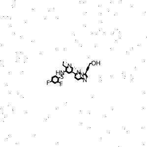 CCc1ncc(-c2ccc3ncc(C#CCO)n3n2)cc1NSc1ccc(F)cc1F